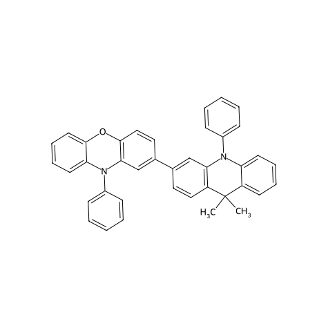 CC1(C)c2ccccc2N(c2ccccc2)c2cc(-c3ccc4c(c3)N(c3ccccc3)c3ccccc3O4)ccc21